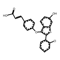 O=C(O)C=Cc1ccc(Oc2c(-c3ccccc3Cl)sc3cc(O)ccc23)cc1